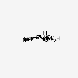 CCC(CC)(CC(=O)Nc1cccc(/C=C/c2cccc(COCCCCc3ccc(OCCCn4ccnc4)cc3)n2)c1)C(=O)O